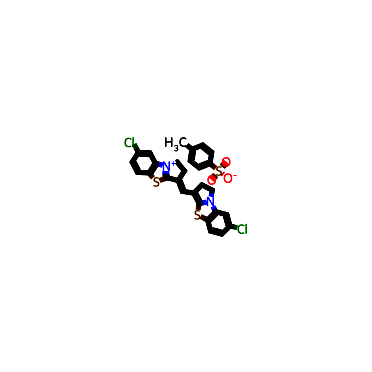 Cc1ccc(S(=O)(=O)[O-])cc1.Clc1ccc2c(c1)N1CCC(C=C3CC[n+]4c3sc3ccc(Cl)cc34)=C1S2